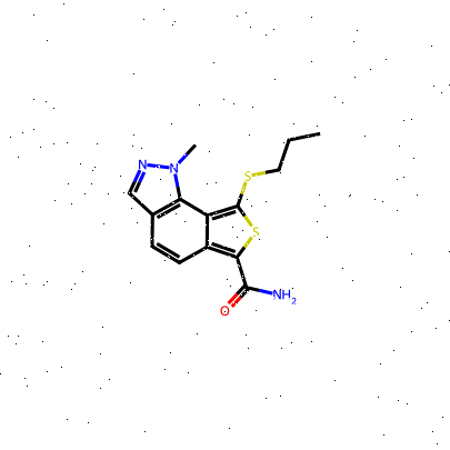 CCCSc1sc(C(N)=O)c2ccc3cnn(C)c3c12